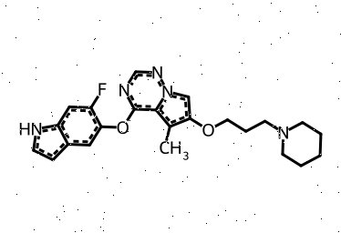 Cc1c(OCCCN2CCCCC2)cn2ncnc(Oc3cc4cc[nH]c4cc3F)c12